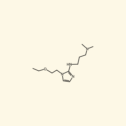 CCOCCn1ccnc1NCCCN(C)C